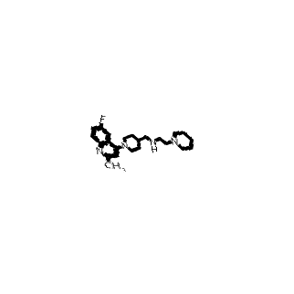 Cc1cc(N2CCC(CNCCN3CCCCC3)CC2)c2cc(F)ccc2n1